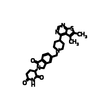 Cc1sc2ncnc(C3CCN(Cc4ccc5c(c4)CN(C4CCC(=O)NC4=O)C5=O)CC3)c2c1C